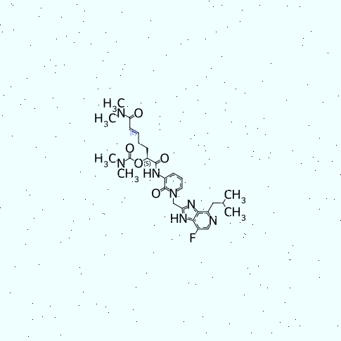 CC(C)Cc1ncc(F)c2[nH]c(Cn3cccc(NC(=O)[C@H](CC/C=C/C(=O)N(C)C)OC(=O)N(C)C)c3=O)nc12